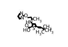 C[C@@H](CCOc1ncccn1)Nc1cc(C#CC(C)(C)C)sc1C(=O)O